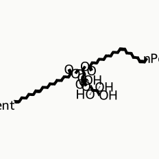 CCCCCC=CCCCCC=CCCCCCCCCC(=O)OC[C@H](COP(=O)(O)OC[C@@H](O)[C@H](O)CO)OC(=O)CCCCCCCC/C=C\CCCC/C=C\CCCCC